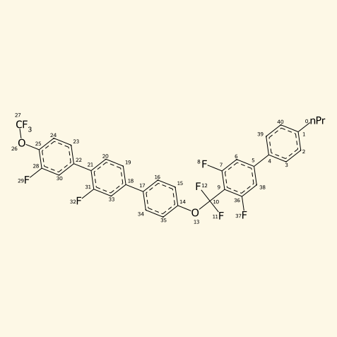 CCCc1ccc(-c2cc(F)c(C(F)(F)Oc3ccc(-c4ccc(-c5ccc(OC(F)(F)F)c(F)c5)c(F)c4)cc3)c(F)c2)cc1